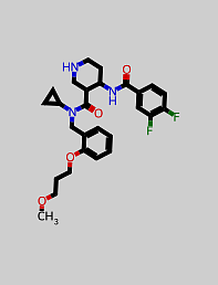 COCCCOc1ccccc1CN(C(=O)C1CNCCC1NC(=O)c1ccc(F)c(F)c1)C1CC1